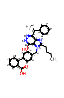 CCCCc1nc2c(C(C)c3ccccc3)nnc(O)c2n1Cc1ccc(-c2ccccc2C(=O)O)cc1